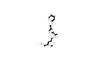 CCCNC(=O)c1cc(C(=O)NC(C)c2ncc(C(=O)Nc3cc(C(F)(F)F)c(Cl)cn3)s2)ncn1